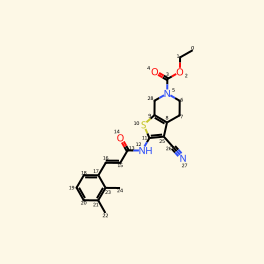 CCOC(=O)N1CCc2c(sc(NC(=O)/C=C/c3cccc(C)c3C)c2C#N)C1